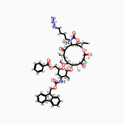 CC[C@H]1OC(=O)[C@@](C)(F)C(=O)[C@H](C)[C@@H](OC2OC(COC(=O)c3ccccc3)CC(NC(=O)OCC3c4ccccc4-c4ccccc43)C2C)[C@@](C)(OC)C[C@@H](C)C(=O)[C@H](C)[C@H]2N(CCCCN=[N+]=[N-])C(=O)O[C@]12C